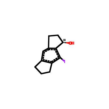 O[C@H]1CCc2cc3c(c(I)c21)CCC3